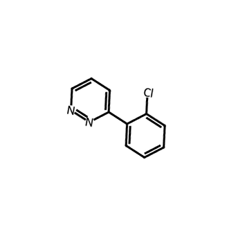 Clc1ccccc1-c1cccnn1